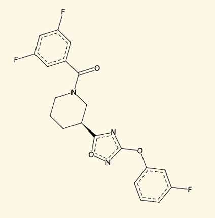 O=C(c1cc(F)cc(F)c1)N1CCC[C@H](c2nc(Oc3cccc(F)c3)no2)C1